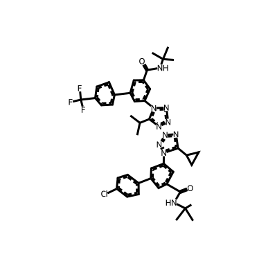 CC(C)(C)NC(=O)c1cc(-c2ccc(Cl)cc2)cc(-n2nnnc2C2CC2)c1.CC(C)c1nnnn1-c1cc(C(=O)NC(C)(C)C)cc(-c2ccc(C(F)(F)F)cc2)c1